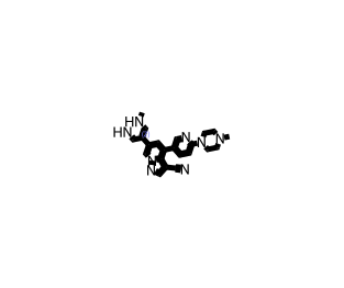 CN/C=C(\C=N)c1cc(-c2ccc(N3CCN(C)CC3)nc2)c2c(C#N)cnn2c1